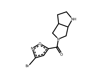 O=C(c1cc(Br)no1)N1CC2CCNC2C1